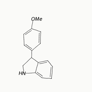 COc1ccc(C2CNc3ccccc32)cc1